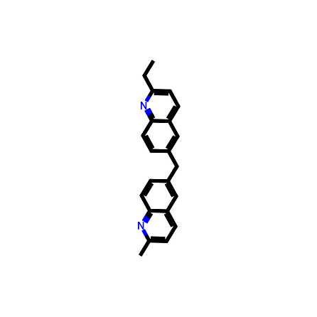 CCc1ccc2cc(Cc3ccc4nc(C)ccc4c3)ccc2n1